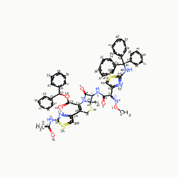 CO/N=C(\C(=O)NC1C(=O)N2C(C(=O)OC(c3ccccc3)c3ccccc3)=C(c3csc(NC(C)=O)n3)CS[C@@H]12)c1csc(NC(c2ccccc2)(c2ccccc2)c2ccccc2)n1